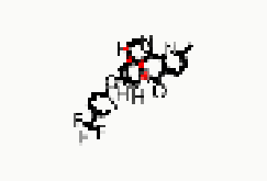 Cc1ccc(C(=O)N2C[C@@H]3CC[C@H]2[C@H](Oc2ccc(C(F)(F)F)cn2)C3)c(-c2ncccc2F)n1